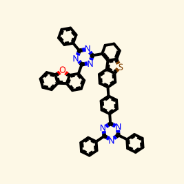 C1=c2sc3cc(-c4ccc(-c5nc(-c6ccccc6)nc(-c6ccccc6)n5)cc4)ccc3c2=C(c2nc(-c3ccccc3)nc(-c3cccc4c3oc3ccccc34)n2)CC1